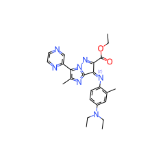 CCOC(=O)C1=Nn2c(nc(C)c2-c2cnccn2)/C1=N\c1ccc(N(CC)CC)cc1C